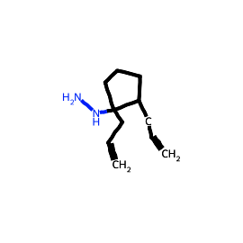 C=CCC1CCCC1(CC=C)NN